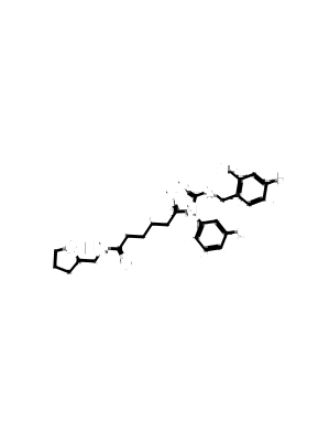 O=C(CCCCc1nnc(SCc2ccc(F)cc2Cl)n1-c1cccc(Cl)c1)NCC1CCCO1